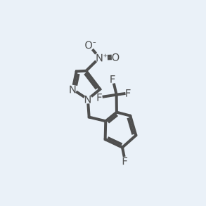 O=[N+]([O-])c1cnn(Cc2cc(F)ccc2C(F)(F)F)c1